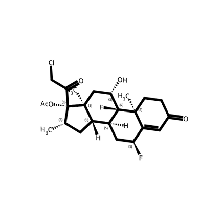 CC(=O)O[C@@]1(C(=O)CCl)[C@@H](C)C[C@H]2[C@@H]3C[C@H](F)C4=CC(=O)CC[C@]4(C)[C@@]3(F)[C@@H](O)C[C@@]21C